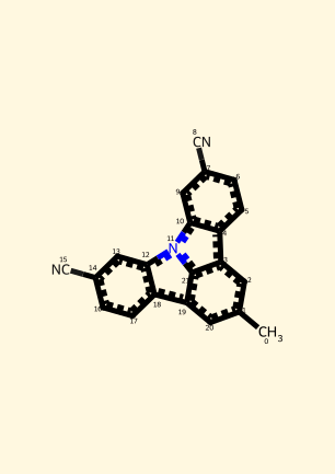 Cc1cc2c3ccc(C#N)cc3n3c4cc(C#N)ccc4c(c1)c23